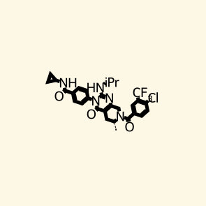 CC(C)Nc1nc2c(c(=O)n1-c1ccc(C(=O)NC3CC3)cc1)C[C@@H](C)N(C(=O)c1ccc(Cl)c(C(F)(F)F)c1)C2